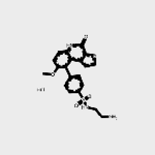 COc1ccc2[nH]c(=O)c3sccc3c2c1-c1ccc(S(=O)(=O)NCCN)cc1.Cl